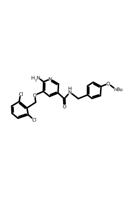 CCCCOc1ccc(CNC(=O)c2cnc(N)c(OCc3c(Cl)cccc3Cl)c2)cc1